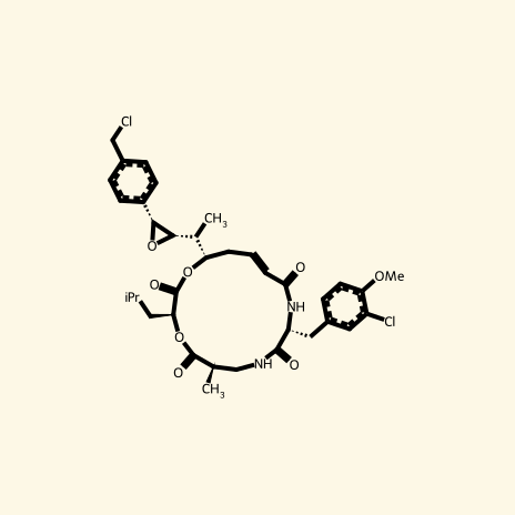 COc1ccc(C[C@H]2NC(=O)/C=C/C[C@@H](C(C)[C@@H]3O[C@@H]3c3ccc(CCl)cc3)OC(=O)[C@H](CC(C)C)OC(=O)[C@H](C)CNC2=O)cc1Cl